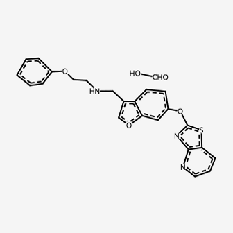 O=CO.c1ccc(OCCNCc2coc3cc(Oc4nc5ncccc5s4)ccc23)cc1